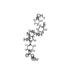 CN1CCC(c2cc(Nc3ncnc4[nH]c(C5=CCN(C(=O)OC(C)(C)C)CC5)cc34)ccc2F)C1